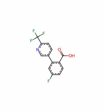 O=C(O)c1ccc(F)cc1-c1ccc(C(F)(F)F)nc1